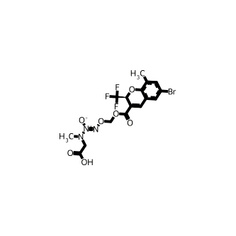 Cc1cc(Br)cc2c1O[C@H](C(F)(F)F)C(C(=O)OCO/N=[N+](\[O-])N(C)CC(=O)O)=C2